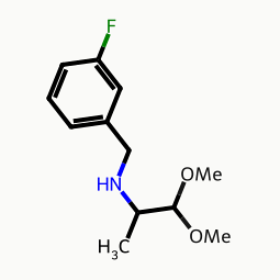 COC(OC)C(C)NCc1cccc(F)c1